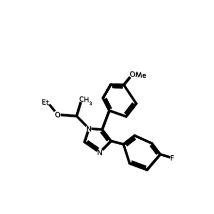 CCOC(C)n1cnc(-c2ccc(F)cc2)c1-c1ccc(OC)cc1